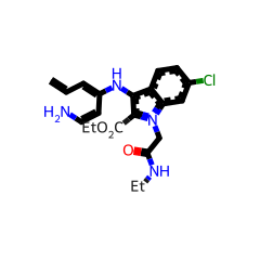 C=C/C=C(\C=C/N)Nc1c(C(=O)OCC)n(CC(=O)NCC)c2cc(Cl)ccc12